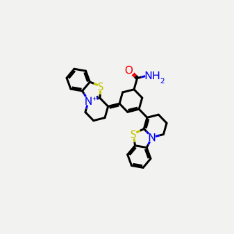 NC(=O)C1CC(C2=C3Sc4ccccc4N3CCC2)=C/C(=C2\CCC[n+]3c2sc2ccccc23)C1